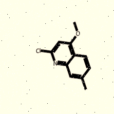 COc1cc(Cl)nc2cc(C)ccc12